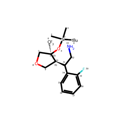 CC(C)(C)[Si](C)(C)O[C@]1(C(F)(F)F)COC[C@@H]1C(CN)c1ccccc1F